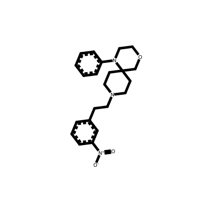 O=[N+]([O-])c1cccc(CCN2CCC3(CC2)COCCN3c2ccccc2)c1